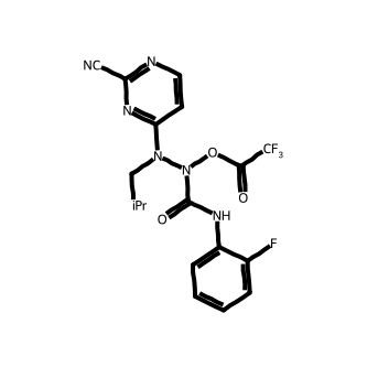 CC(C)CN(c1ccnc(C#N)n1)N(OC(=O)C(F)(F)F)C(=O)Nc1ccccc1F